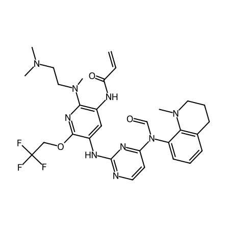 C=CC(=O)Nc1cc(Nc2nccc(N(C=O)c3cccc4c3N(C)CCC4)n2)c(OCC(F)(F)F)nc1N(C)CCN(C)C